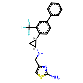 Nc1nc(CN[C@@H]2C[C@H]2c2ccc(-c3ccccc3)cc2C(F)(F)F)cs1